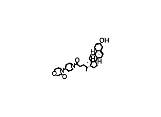 CC(CCC(=O)N1CCC(N2CCOCC2=O)CC1)[C@H]1CC[C@H]2[C@@H]3CC=C4C[C@@H](O)CC[C@]4(C)[C@H]3CC[C@]12C